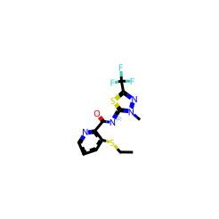 CCSc1cccnc1C(=O)/N=c1\sc(C(F)(F)F)nn1C